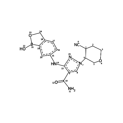 N#CC1CCOCC1n1cc(C(N)=O)c(Nc2ccc3c(c2)B(O)OC3)n1